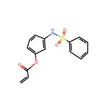 C=CC(=O)Oc1cccc(NS(=O)(=O)c2ccccc2)c1